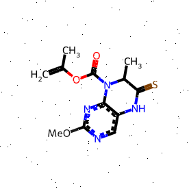 C=C(C)OC(=O)N1c2nc(OC)ncc2NC(=S)C1C